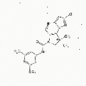 Cc1cc(NC(=O)N2C[C@@](C)(C(F)(F)F)c3c2cnc2cc(Cl)nn32)cc(OCC(C)C)n1